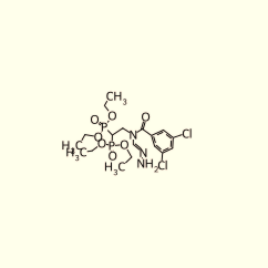 CCOP(=O)(OCC)C(CN(C=NN)C(=O)c1cc(Cl)cc(Cl)c1)P(=O)(OCC)OCC